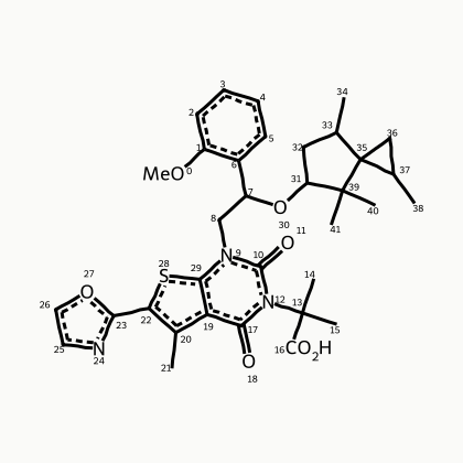 COc1ccccc1C(Cn1c(=O)n(C(C)(C)C(=O)O)c(=O)c2c(C)c(-c3ncco3)sc21)OC1CC(C)C2(CC2C)C1(C)C